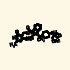 CSc1cc(C)[nH]c(=O)c1CNC(=O)c1c(C)n([C@H](C)C2CCC(NC3(COC(C)=O)COC3)CC2)c2ccccc12